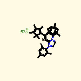 CC1=C(C)C(C)(C)C([C](=[Ru]=[C]2N(c3c(C)cc(C)cc3C)CCN2c2c(C)cc(C)cc2C)c2ccccc2)=C1C.Cl.Cl